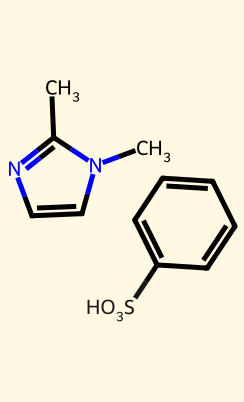 Cc1nccn1C.O=S(=O)(O)c1ccccc1